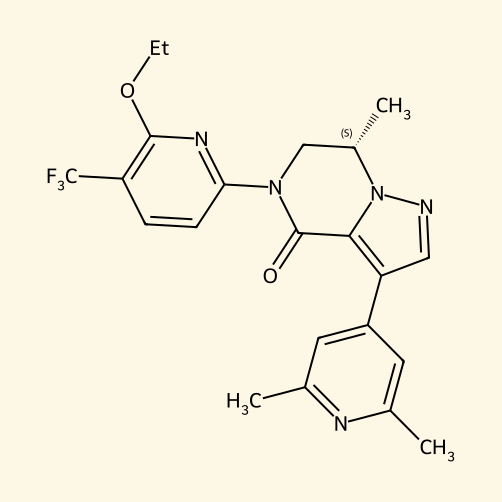 CCOc1nc(N2C[C@H](C)n3ncc(-c4cc(C)nc(C)c4)c3C2=O)ccc1C(F)(F)F